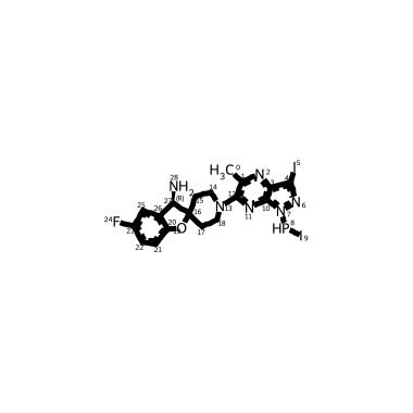 Cc1nc2c(I)nn(PI)c2nc1N1CCC2(CC1)Oc1ccc(F)cc1[C@H]2N